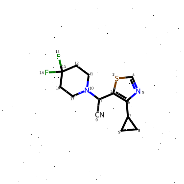 N#CC(c1scnc1C1CC1)N1CCC(F)(F)CC1